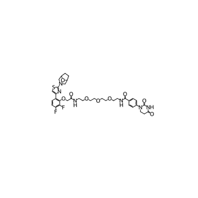 O=C(COc1c(-c2csc(N3CC4CCC(C3)O4)n2)ccc(F)c1F)NCCOCCOCCOCCNC(=O)c1ccc(N2CCC(=O)NC2=O)cc1